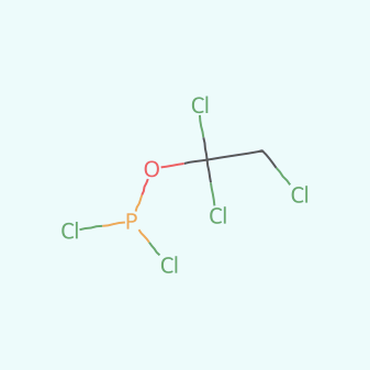 ClCC(Cl)(Cl)OP(Cl)Cl